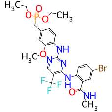 CCOP(=O)(Cc1ccc(Nc2ncc(C(F)(F)F)c(Nc3ccc(Br)cc3C(=O)NC)n2)c(OC)c1)OCC